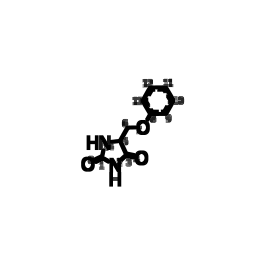 O=C1NC(=O)C(COc2ccccc2)N1